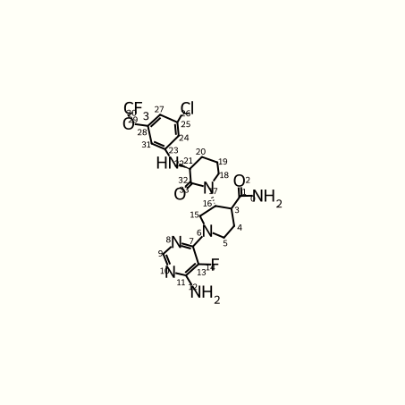 NC(=O)C1CCN(c2ncnc(N)c2F)C[C@@H]1N1CCC[C@H](Nc2cc(Cl)cc(OC(F)(F)F)c2)C1=O